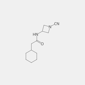 N#CN1CC(NC(=O)CC2CCCCC2)C1